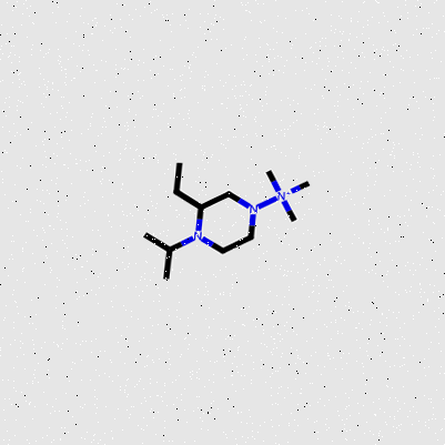 CCC1CN([N+](C)(C)C)CCN1C(C)C